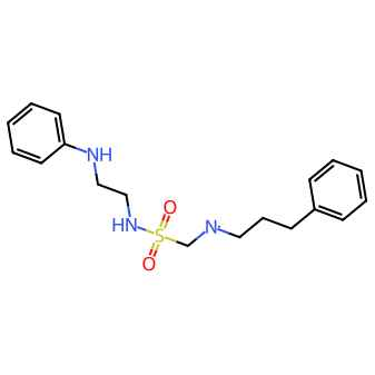 O=S(=O)(C[N]CCCc1ccccc1)NCCNc1ccccc1